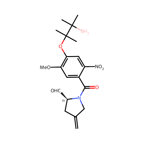 BC(C)(C)C(C)(C)Oc1cc([N+](=O)[O-])c(C(=O)N2CC(=C)C[C@H]2C=O)cc1OC